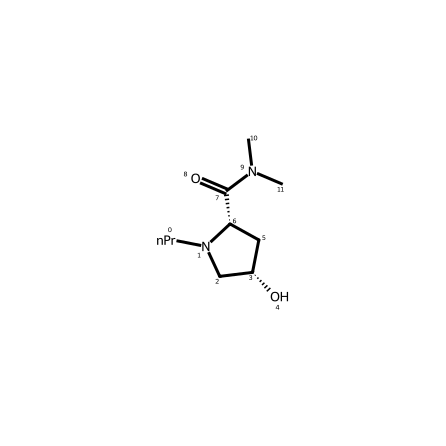 CCCN1C[C@@H](O)C[C@H]1C(=O)N(C)C